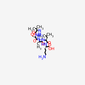 CC(C)C[C@H](NC(=O)[C@H](C)NC(=O)[C@H](CO)NC(=O)[C@@H](N)C(C)C)C(=O)N[C@@H](CCCCN)C(=O)O